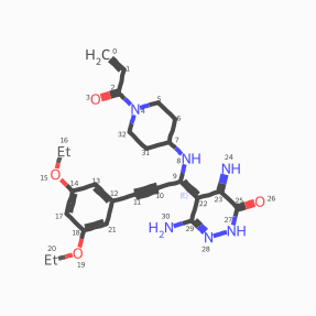 C=CC(=O)N1CCC(N/C(C#Cc2cc(OCC)cc(OCC)c2)=C2\C(=N)C(=O)NN=C2N)CC1